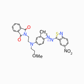 COCCN(CCN1C(=O)c2ccccc2C1=O)c1ccc(/N=N/c2snc3ccc([N+](=O)[O-])cc23)c(C)c1